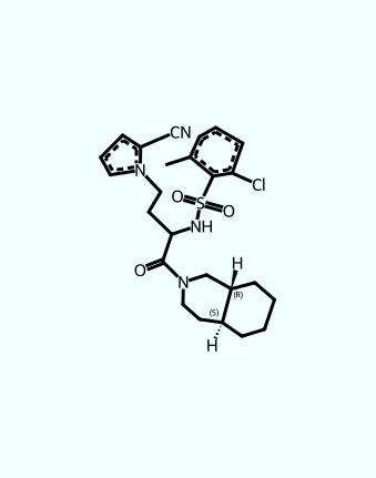 Cc1cccc(Cl)c1S(=O)(=O)NC(CCn1cccc1C#N)C(=O)N1CC[C@@H]2CCCC[C@H]2C1